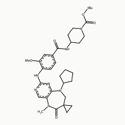 COc1cc(C(=O)NC2CCN(C(=O)OC(C)(C)C)CC2)ccc1Nc1ncc2c(n1)N(C1CCCC1)CC1(CC1)C(=O)N2C